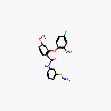 COc1cc(F)ccc1Oc1cc(OC(F)(F)F)ccc1C(=O)Nc1cccc(SN)c1